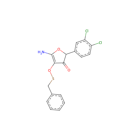 NC1=C(OSCc2ccccc2)C(=O)C(c2ccc(Cl)c(Cl)c2)O1